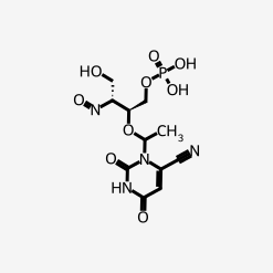 CC(O[C@H](COP(=O)(O)O)[C@@H](CO)N=O)n1c(C#N)cc(=O)[nH]c1=O